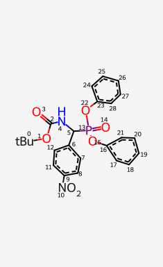 CC(C)(C)OC(=O)NC(c1ccc([N+](=O)[O-])cc1)P(=O)(Oc1ccccc1)Oc1ccccc1